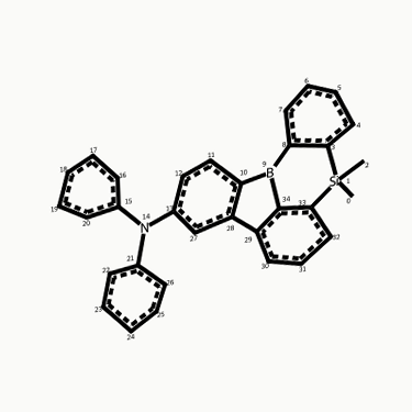 C[Si]1(C)c2ccccc2B2c3ccc(N(c4ccccc4)c4ccccc4)cc3-c3cccc1c32